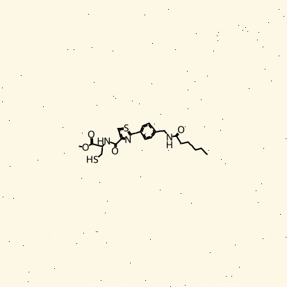 CCCCCC(=O)NCc1ccc(-c2nc(C(=O)NC(CS)C(=O)OC)cs2)cc1